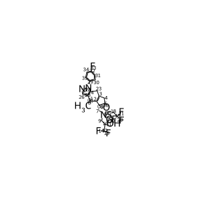 C[C@@H]1C2=C(CC[C@@H]2CN(CC(O)C(F)F)S(=O)(=O)CC(F)(F)F)Cc2c1cnn2-c1ccc(F)cc1